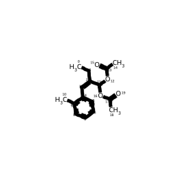 CCC(=Cc1ccccc1C)C(OC(C)=O)OC(C)=O